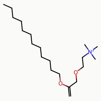 C=C(COCC[N+](C)(C)C)OCCCCCCCCCCCC